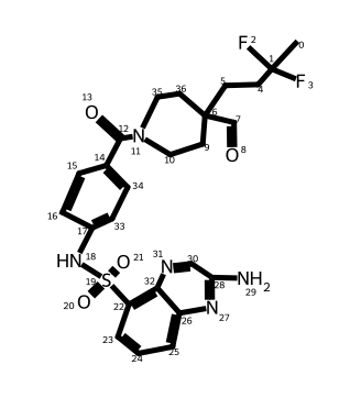 CC(F)(F)CCC1(C=O)CCN(C(=O)c2ccc(NS(=O)(=O)c3cccc4nc(N)cnc34)cc2)CC1